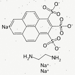 NCCN.O=S(=O)([O-])c1c(S(=O)(=O)[O-])c2ccc3cccc4ccc(c1S(=O)(=O)[O-])c2c34.[Na+].[Na+].[Na+]